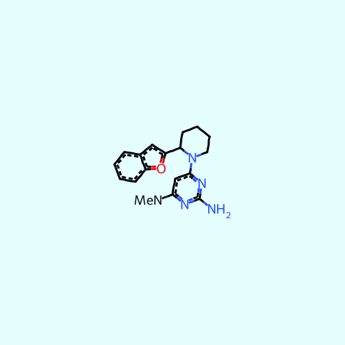 CNc1cc(N2CCCCC2c2cc3ccccc3o2)nc(N)n1